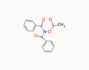 CC(=O)ON(C(=O)c1ccccc1)C(=O)c1ccccc1